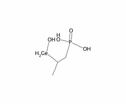 C[CH](CP(=O)(O)O)[GeH2][OH]